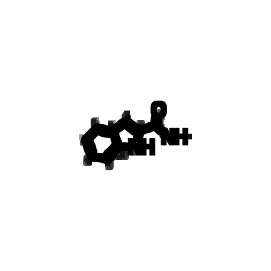 [NH]C(=O)c1cc2ccccc2[nH]1